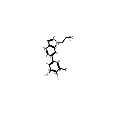 CC(=O)CCn1ncc2ncc(-c3cc(F)c(F)c(F)c3)cc21